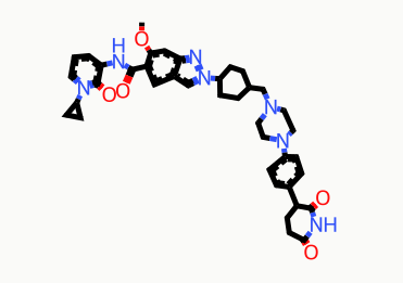 COc1cc2nn(C3CCC(CN4CCN(c5ccc(C6CCC(=O)NC6=O)cc5)CC4)CC3)cc2cc1C(=O)Nc1cccn(C2CC2)c1=O